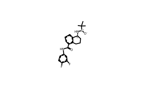 CC(C)(C)[S+]([O-])N[C@H]1CCCc2c(C(=O)Nc3ccc(F)c(F)c3)cccc21